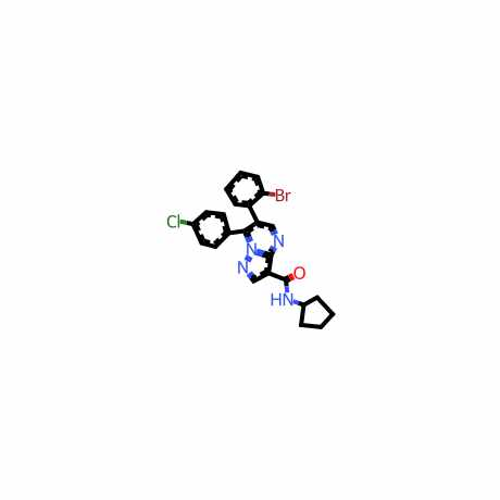 O=C(NC1CCCC1)c1cnn2c(-c3ccc(Cl)cc3)c(-c3ccccc3Br)cnc12